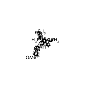 C=CC(=O)N1CCC[C@H]1c1ccc(N2C[C@H](CS(C)(=O)=O)[C@H]2C)c2cnc(Nc3ccnc(N4CC[C@H](OC)[C@@H](F)C4)n3)cc12